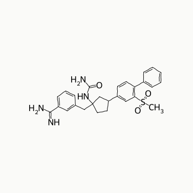 CS(=O)(=O)c1cc(C2CCC(Cc3cccc(C(=N)N)c3)(NC(N)=O)C2)ccc1-c1ccccc1